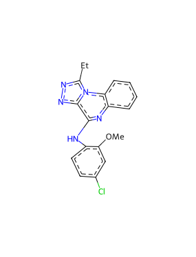 CCc1nnc2c(Nc3ccc(Cl)cc3OC)nc3ccccc3n12